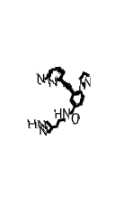 CN(C)c1cccc(C#Cc2cc(C(=O)NCCCc3cn[nH]c3)ccc2-n2cccn2)n1